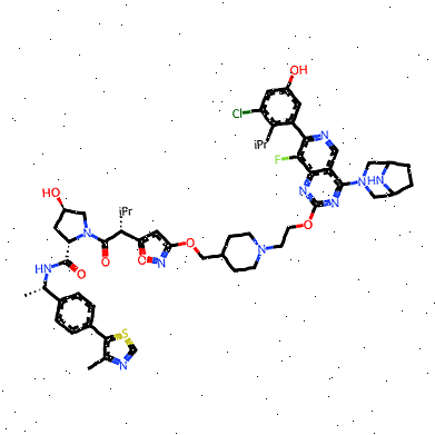 Cc1ncsc1-c1ccc([C@H](C)NC(=O)[C@@H]2C[C@@H](O)CN2C(=O)[C@@H](c2cc(OCC3CCN(CCOc4nc(N5CC6CCC(C5)N6)c5cnc(-c6cc(O)cc(Cl)c6C(C)C)c(F)c5n4)CC3)no2)C(C)C)cc1